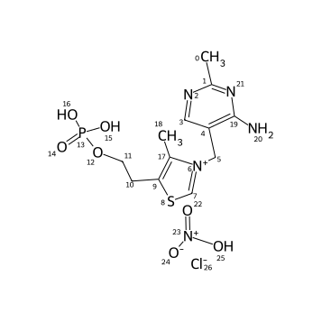 Cc1ncc(C[n+]2csc(CCOP(=O)(O)O)c2C)c(N)n1.O=[N+]([O-])O.[Cl-]